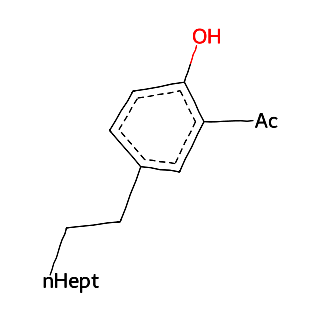 CCCCCCCCCc1ccc(O)c(C(C)=O)c1